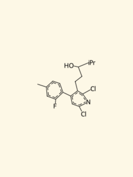 Cc1ccc(-c2cc(Cl)nc(Cl)c2CCC(O)C(C)C)c(F)c1